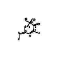 C=C(/C(C)=C\C(C)=C/C)C(C)(C)C